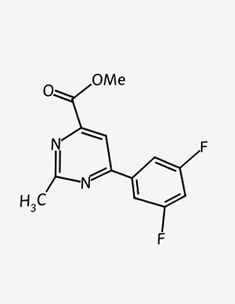 COC(=O)c1cc(-c2cc(F)cc(F)c2)nc(C)n1